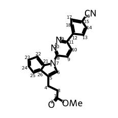 COC(=O)CCc1cn(-c2ccc(-c3ccc(C#N)cc3)nn2)c2ccccc12